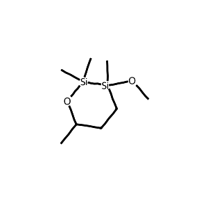 CO[Si]1(C)CCC(C)O[Si]1(C)C